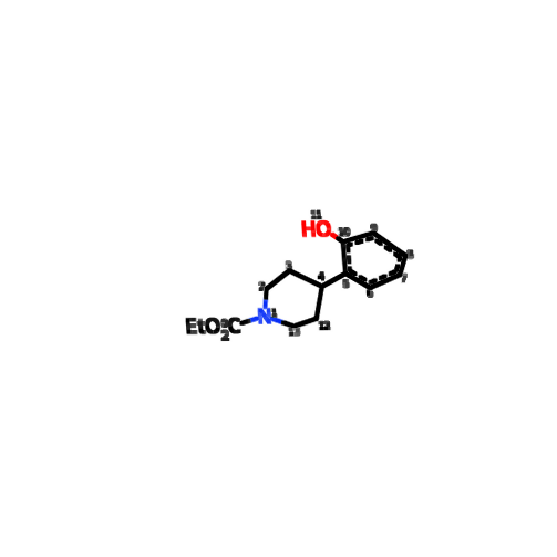 CCOC(=O)N1CCC(c2ccccc2O)CC1